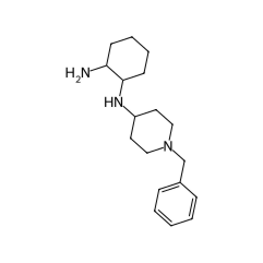 NC1CCCCC1NC1CCN(Cc2ccccc2)CC1